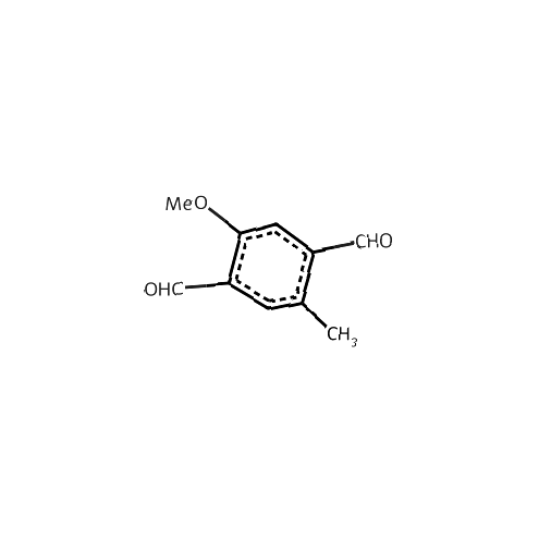 COc1cc(C=O)c(C)cc1C=O